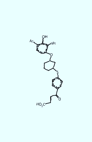 CCCc1c(OC2CCCC(Sc3ccc(C(=O)CCC(=O)O)cc3)C2)ccc(C(C)=O)c1O